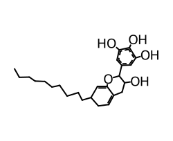 CCCCCCCCCCC1C=C2OC(c3cc(O)c(O)c(O)c3)C(O)CC2=CC1